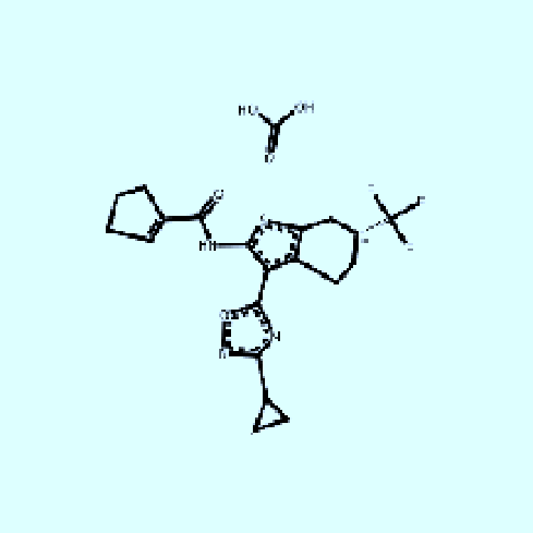 O=C(Nc1sc2c(c1-c1nc(C3CC3)no1)CC[C@@H](C(F)(F)F)C2)C1=CCCC1.O=C(O)O